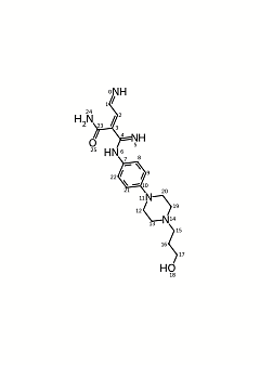 N=C/C=C(/C(=N)Nc1ccc(N2CCN(CCCO)CC2)cc1)C(N)=O